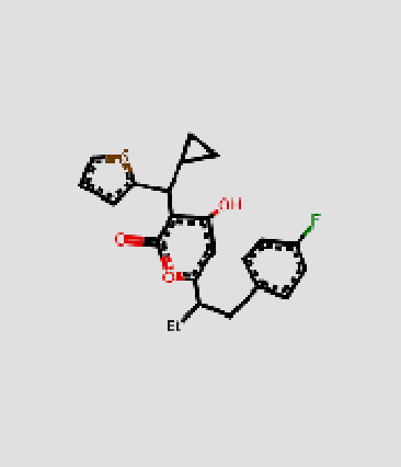 CCC(Cc1ccc(F)cc1)c1cc(O)c(C(c2cccs2)C2CC2)c(=O)o1